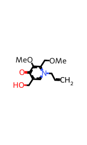 C=CCn1cc(CO)c(=O)c(OC)c1COC